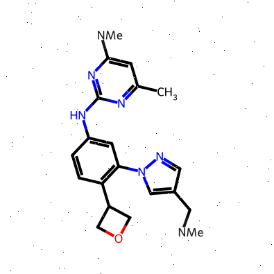 CNCc1cnn(-c2cc(Nc3nc(C)cc(NC)n3)ccc2C2COC2)c1